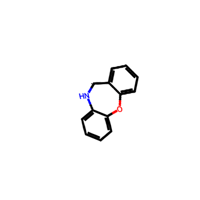 [CH]1Nc2ccccc2Oc2ccccc21